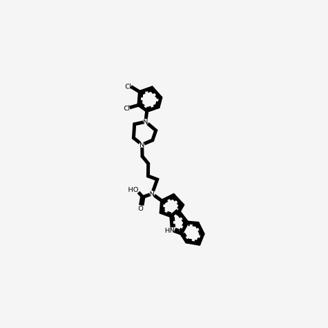 O=C(O)N(CCCCN1CCN(c2cccc(Cl)c2Cl)CC1)c1ccc2c(c1)[nH]c1ccccc12